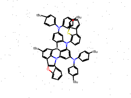 CC(C)(C)c1ccc(N(c2ccc(C(C)(C)C)cc2)c2ccc3c(c2)N(c2cccc4c2sc2ccccc24)c2cc(N(c4ccc(C(C)(C)C)cc4)c4ccc(C(C)(C)C)cc4)cc4c2B3c2cc(C(C)(C)C)cc3c5oc6ccccc6c5n-4c23)cc1